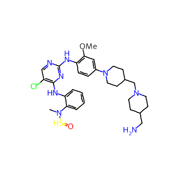 COc1cc(N2CCC(CN3CCC(CN)CC3)CC2)ccc1Nc1ncc(Cl)c(Nc2ccccc2N(C)[SH]=O)n1